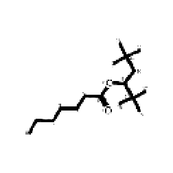 CCCCCCC(=O)OC(CC(C)(C)C)C(C)(C)C